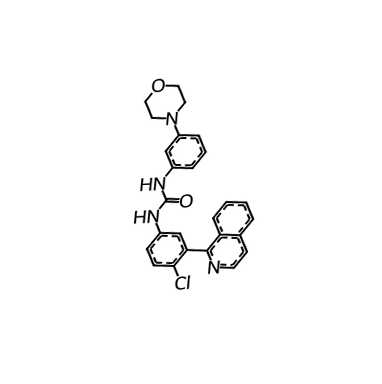 O=C(Nc1cccc(N2CCOCC2)c1)Nc1ccc(Cl)c(-c2nccc3ccccc23)c1